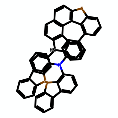 c1ccc([SiH]2c3ccccc3-c3c2ccc2ccc4sc5cccc(-c6ccc(N(c7cccc8c7sc7ccccc78)c7cccc8c7sc7ccccc78)cc6)c5c4c32)cc1